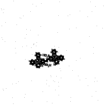 O=S(=O)(O)c1cc([N+](c2nc3ccccc3s2)(c2nc3ccccc3s2)C2(S)N=CC=CN2)ccc1C=Cc1ccc([N+](c2nc3ccccc3s2)(c2nc3ccccc3s2)C2(S)N=CC=CN2)cc1S(=O)(=O)O